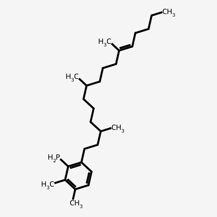 CCCC/C=C(\C)CCCC(C)CCCC(C)CCc1ccc(C)c(C)c1P